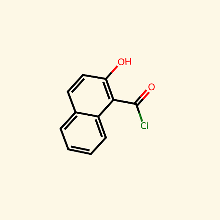 O=C(Cl)c1c(O)ccc2ccccc12